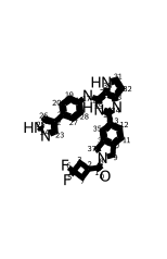 O=C(C1CC(F)(F)C1)N1Cc2ccc(-c3nc(Nc4ccc(-c5cn[nH]c5)cc4)c4[nH]ccc4n3)cc2C1